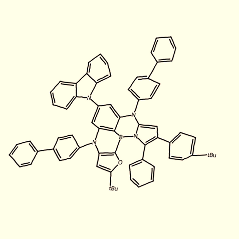 CC(C)(C)c1ccc(-c2cc3n(c2-c2ccccc2)B2c4oc(C(C)(C)C)cc4N(c4ccc(-c5ccccc5)cc4)c4cc(-n5c6ccccc6c6ccccc65)cc(c42)N3c2ccc(-c3ccccc3)cc2)cc1